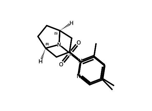 Cc1cnc(S(=O)(=O)N2[C@@H]3CC[C@H]2CC(N2CCC(C)CC2)C3)c(C)c1